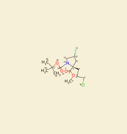 COC(=O)[C@@]1(CCCCl)C[C@H](F)CN1C(=O)OC(C)(C)C